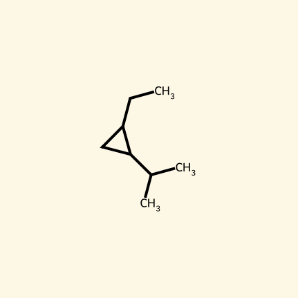 CCC1CC1C(C)C